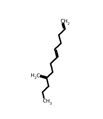 C=CCCC=CCCC(=C)CCC